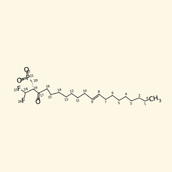 CCCCCCCCC=CCCCCCCCC(=O)[C@@H](CP(=O)=O)C(F)F